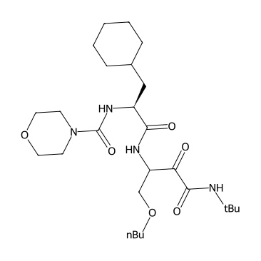 CCCCOCC(NC(=O)[C@H](CC1CCCCC1)NC(=O)N1CCOCC1)C(=O)C(=O)NC(C)(C)C